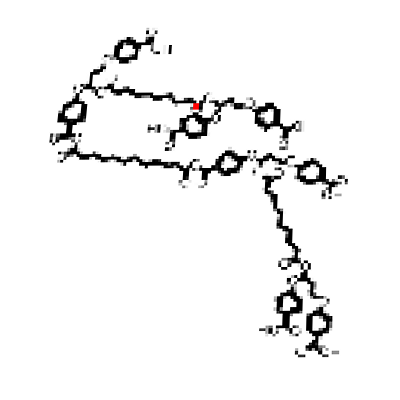 O=C(CCCCCCCCCCC(=O)OC(=O)c1ccc(OC(CCOc2ccc(C(=O)O)cc2)OC(=O)CCCCCCCCC(=O)OC(CCOc2ccc(C(=O)O)cc2)Oc2ccc(C(=O)O)cc2)cc1)OC(=O)c1ccc(OC(CCOc2ccc(C(=O)O)cc2)OC(=O)CCCCCCCCC(=O)OC(CCOc2ccc(C(=O)O)cc2)Oc2ccc(C(=O)O)cc2)cc1